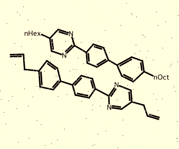 C=CCc1ccc(-c2ccc(-c3ncc(CC=C)cn3)cc2)cc1.CCCCCCCCc1ccc(-c2ccc(-c3ncc(CCCCCC)cn3)cc2)cc1